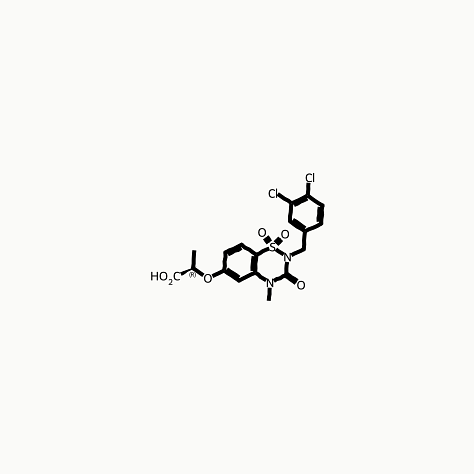 C[C@@H](Oc1ccc2c(c1)N(C)C(=O)N(Cc1ccc(Cl)c(Cl)c1)S2(=O)=O)C(=O)O